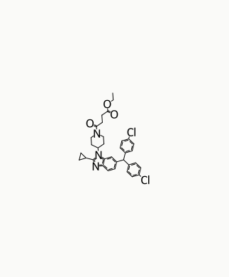 CCOC(=O)CCC(=O)N1CCC(n2c(C3CC3)nc3ccc(C(c4ccc(Cl)cc4)c4ccc(Cl)cc4)cc32)CC1